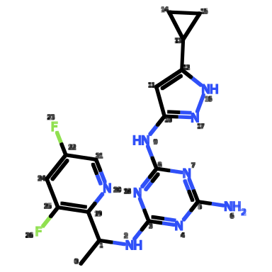 CC(Nc1nc(N)nc(Nc2cc(C3CC3)[nH]n2)n1)c1ncc(F)cc1F